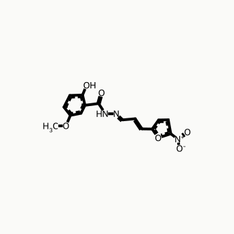 COc1ccc(O)c(C(=O)NN=CC=Cc2ccc([N+](=O)[O-])o2)c1